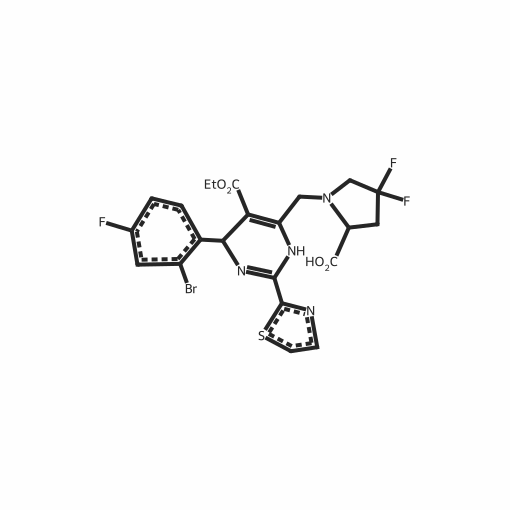 CCOC(=O)C1=C(CN2CC(F)(F)CC2C(=O)O)NC(c2nccs2)=NC1c1ccc(F)cc1Br